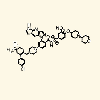 CC1(C)CCC(CN2CCN(c3ccc(C(=O)NS(=O)(=O)c4ccc(OC5CCN(C6CCOCC6)CC5)c([N+](=O)[O-])c4)c(-n4ncc5nc6[nH]ccc6cc54)c3)CC2)=C(c2ccc(Cl)cc2)C1